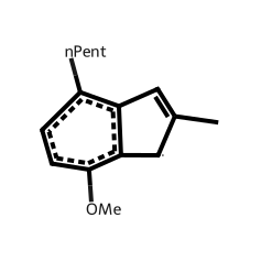 CCCCCc1ccc(OC)c2c1C=C(C)[CH]2